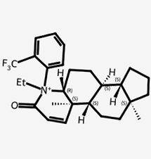 CC[N+]1(c2ccccc2C(F)(F)F)C(=O)C=C[C@@]2(C)[C@H]1CC[C@H]1[C@@H]3CCC[C@@]3(C)CC[C@@H]12